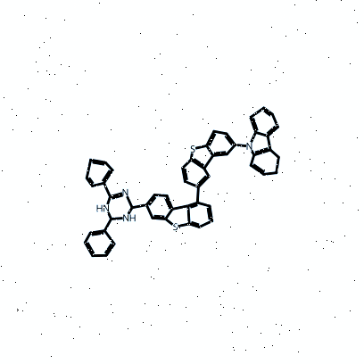 C1=Cc2c(c3ccccc3n2-c2ccc3sc4ccc(-c5cccc6sc7cc(C8N=C(c9ccccc9)NC(c9ccccc9)N8)ccc7c56)cc4c3c2)CC1